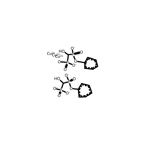 O=P([O-])([O-])C(O)P(=O)([O-])Oc1ccccc1.O=P([O-])([O-])C(O)P(=O)([O-])Oc1ccccc1.[Cu+2].[Cu+2].[Cu+2]